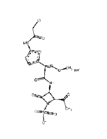 CON=C(C(=O)N[C@@H]1C(=O)N(S(=O)(=O)[O-])[C@@H]1C(C)=O)c1csc(NC(=O)CCl)n1.[Na+]